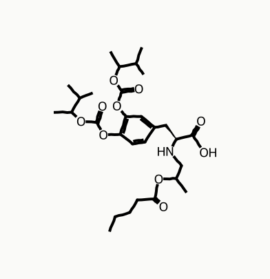 CCCCC(=O)OC(C)CN[C@@H](Cc1ccc(OC(=O)OC(C)C(C)C)c(OC(=O)OC(C)C(C)C)c1)C(=O)O